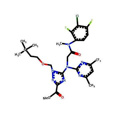 COC(=O)c1nc(N(CC(=O)N(C)c2ccc(F)c(Cl)c2F)c2nc(C)cc(C(F)(F)F)n2)n(COCC[Si](C)(C)C)n1